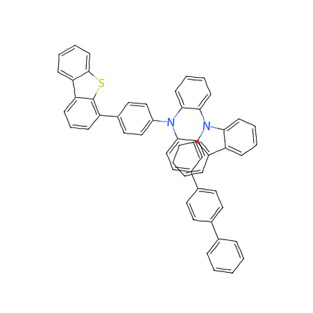 c1c(-c2ccc(-c3ccccc3)cc2)ccc(N(c2ccc(-c3cccc4c3sc3ccccc34)cc2)c2ccccc2-n2c3c(c4ccccc42)C=CCC3)c#1